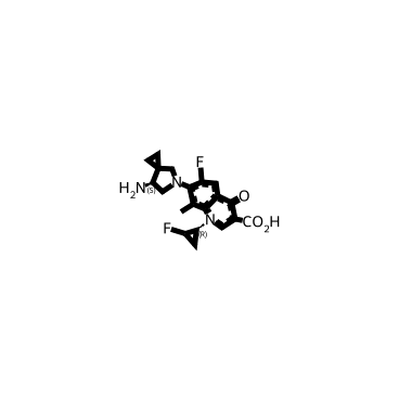 Cc1c(N2C[C@@H](N)C3(CC3)C2)c(F)cc2c(=O)c(C(=O)O)cn([C@@H]3CC3F)c12